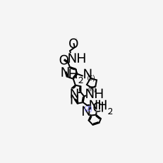 COCCNC(=O)c1cc(C)c(-c2cc3c(N[C@@H]4CC[C@H](N)C4)c(/C(N)=N/c4ccccc4Cl)cnn3c2)cn1